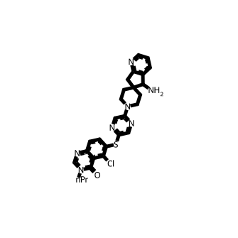 CCCn1cnc2ccc(Sc3cnc(N4CCC5(CC4)Cc4ncccc4C5N)cn3)c(Cl)c2c1=O